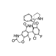 NC(=O)c1cc2c(c(F)c1-c1c(Cl)c(F)cc3c1C[C@](c1ccccc1)([C@@H]1CCCN1)O3)OCC(=O)N2